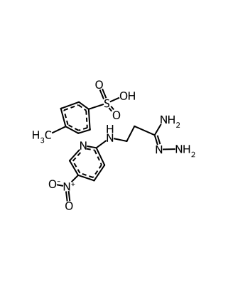 Cc1ccc(S(=O)(=O)O)cc1.NN=C(N)CCNc1ccc([N+](=O)[O-])cn1